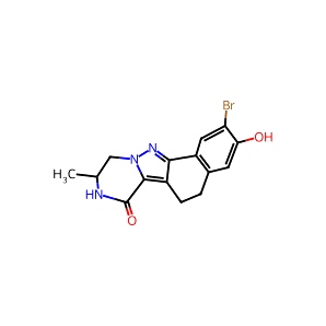 CC1Cn2nc3c(c2C(=O)N1)CCc1cc(O)c(Br)cc1-3